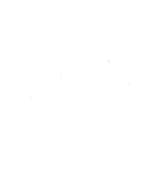 Cc1cc(C2CCCS2)cc(C)c1O.O=S(=O)(O)C(F)(F)F